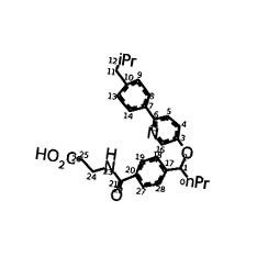 CCCC(Oc1ccc(-c2ccc(CC(C)C)cc2)nc1)c1ccc(C(=O)NCCC(=O)O)cc1